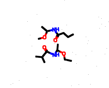 CCCC(=O)NC(C)OC.CCOC(C)NC(=O)C(C)C